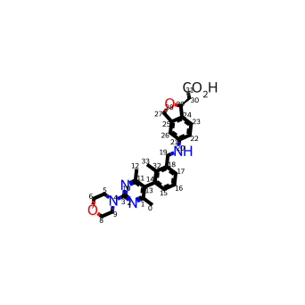 Cc1nc(N2CCOCC2)nc(C)c1-c1cccc(CNc2ccc3c(c2)CO[C@H]3CC(=O)O)c1C